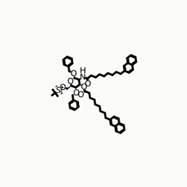 CC(C)(C)[Si](C)(C)OC[C@H]1O[C@H](OCc2ccccc2)[C@@H](NC(=O)CCCCCCCCc2ccc3ccccc3c2)[C@@H](OC(=O)CCCCCCCCc2ccc3ccccc3c2)[C@@H]1OCc1ccccc1